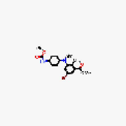 CCCN(c1cc(Br)cc(C(=O)OC)c1C)C1CCC(NC(=O)OC(C)(C)C)CC1